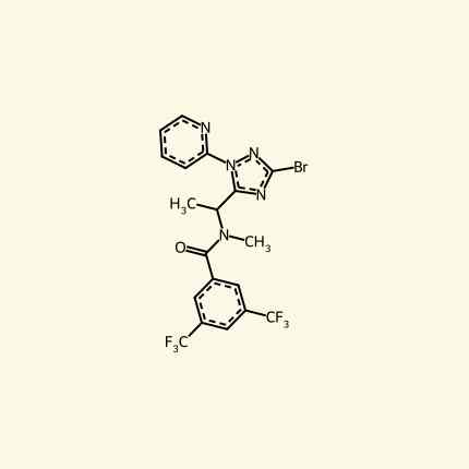 CC(c1nc(Br)nn1-c1ccccn1)N(C)C(=O)c1cc(C(F)(F)F)cc(C(F)(F)F)c1